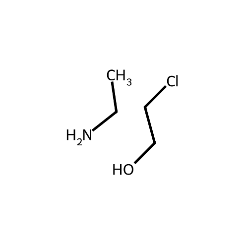 CCN.OCCCl